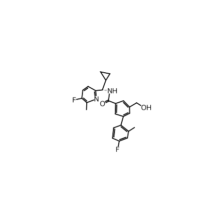 Cc1cc(F)ccc1-c1cc(CO)cc(C(=O)N[C@H](c2ccc(F)c(C)n2)C2CC2)c1